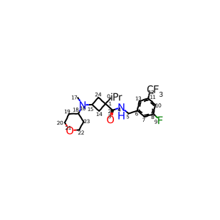 CC(C)C1(C(=O)NCc2cc(F)cc(C(F)(F)F)c2)CC(N(C)C2CCOCC2)C1